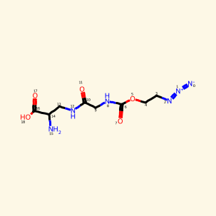 [N-]=[N+]=NCCOC(=O)NCC(=O)NCC(N)C(=O)O